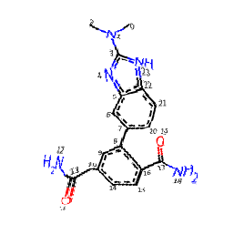 CN(C)c1nc2cc(-c3cc(C(N)=O)ccc3C(N)=O)ccc2[nH]1